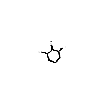 O=C1C(Cl)CCCC1Cl